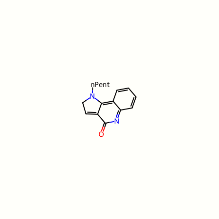 CCCCCN1CC=C2C(=O)N=c3ccccc3=C21